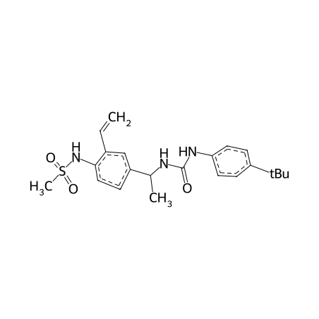 C=Cc1cc(C(C)NC(=O)Nc2ccc(C(C)(C)C)cc2)ccc1NS(C)(=O)=O